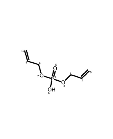 C=C[CH]OP(=O)(O)OCC=C